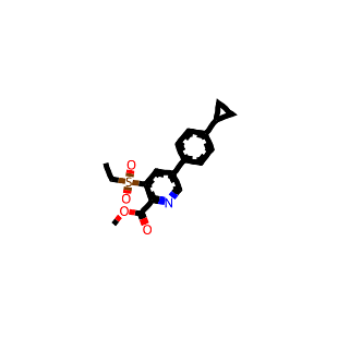 CCS(=O)(=O)c1cc(-c2ccc(C3CC3)cc2)cnc1C(=O)OC